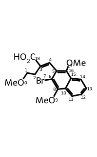 COCC/C(=C\c1c(Br)c(OC)c2ccccc2c1OC)C(=O)O